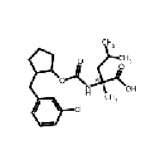 CC(C)C[C@@](C)(NC(=O)OC1CCCC1Cc1cccc(Cl)c1)C(=O)O